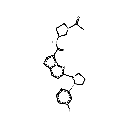 CC(=O)N1CC[C@@H](NC(=O)c2cnc3ccc(N4CCC[C@@H]4c4cccc(F)c4)nn23)C1